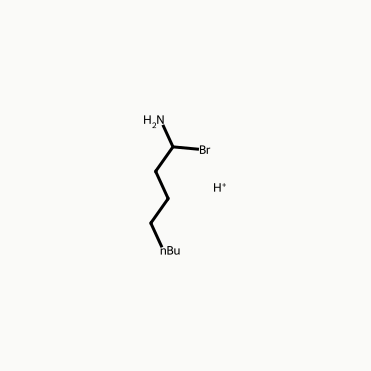 CCCCCCCC(N)Br.[H+]